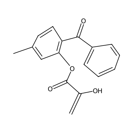 C=C(O)C(=O)Oc1cc(C)ccc1C(=O)c1ccccc1